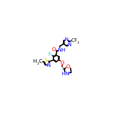 Cc1cnc(-c2cc(OC[C@H]3CNCCO3)cc(C(=O)NCc3cnc(C(F)(F)F)nc3)c2F)s1